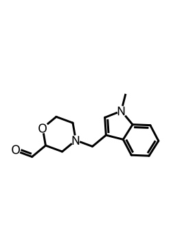 Cn1cc(CN2CCOC(C=O)C2)c2ccccc21